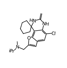 C=C1Nc2c(Cl)cc3cc(CN(C)C(C)C)oc3c2C2(CCCCC2)N1